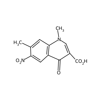 Cc1cc2c(cc1[N+](=O)[O-])c(=O)c(C(=O)O)cn2C